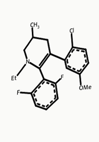 CCN1CC(C)CC(c2cc(OC)ccc2Cl)=C1c1c(F)cccc1F